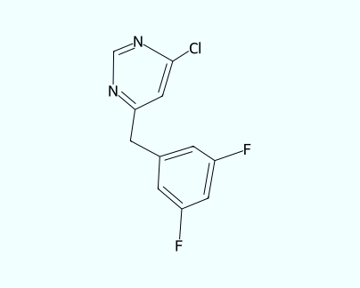 Fc1cc(F)cc(Cc2cc(Cl)ncn2)c1